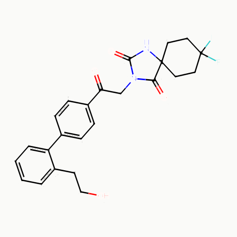 O=C(CN1C(=O)NC2(CCC(F)(F)CC2)C1=O)c1ccc(-c2ccccc2CCO)cc1